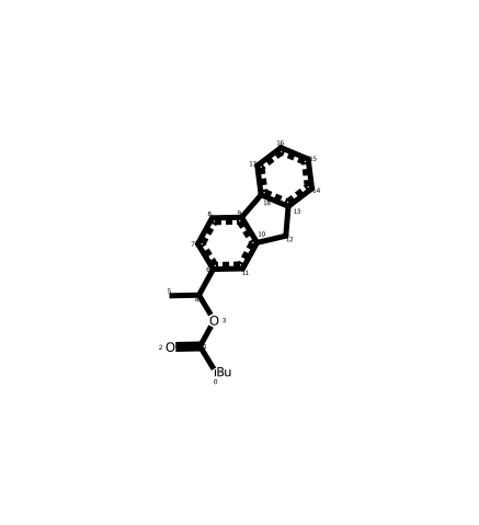 CCC(C)C(=O)OC(C)c1ccc2c(c1)Cc1ccccc1-2